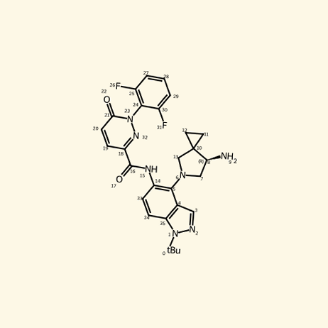 CC(C)(C)n1ncc2c(N3C[C@H](N)C4(CC4)C3)c(NC(=O)c3ccc(=O)n(-c4c(F)cccc4F)n3)ccc21